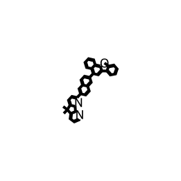 CC1(C)c2cccnc2-c2nc(-c3ccc4cc(-c5cc6c7ccccc7oc6c6ccccc56)ccc4c3)ccc21